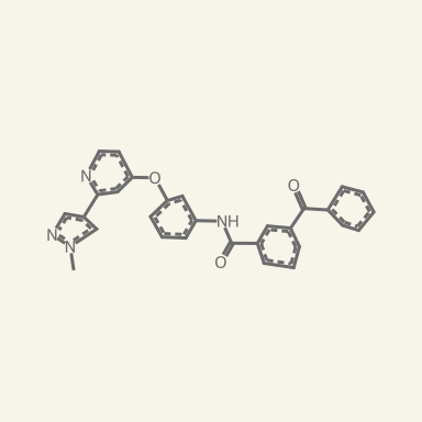 Cn1cc(-c2cc(Oc3cccc(NC(=O)c4cccc(C(=O)c5ccccc5)c4)c3)ccn2)cn1